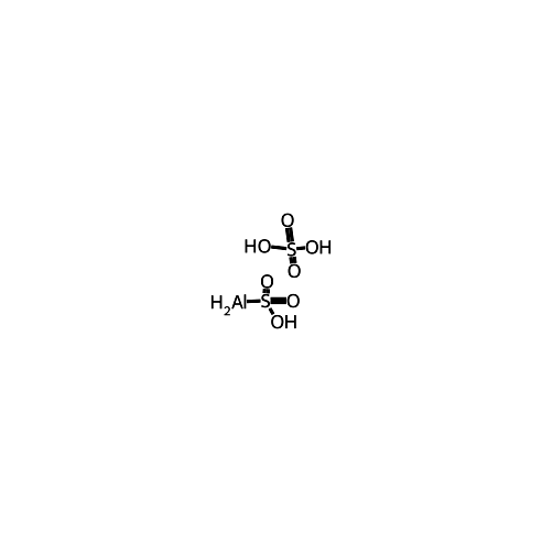 O=S(=O)(O)O.O=[S](=O)(O)[AlH2]